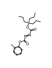 CCC[Si](CCC)(CCC)OC(=O)/N=N/C(=O)Oc1ccccc1C